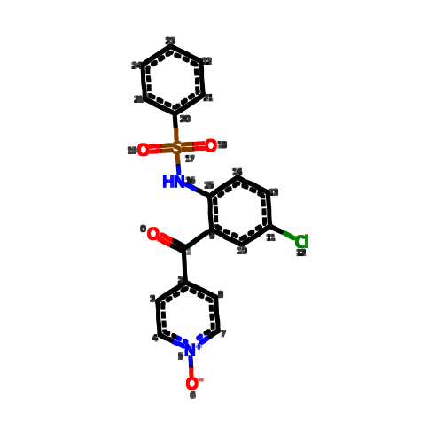 O=C(c1cc[n+]([O-])cc1)c1cc(Cl)ccc1NS(=O)(=O)c1ccccc1